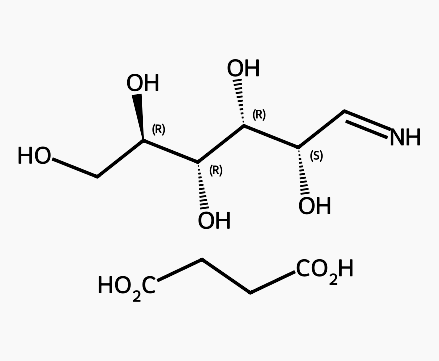 N=C[C@H](O)[C@@H](O)[C@H](O)[C@H](O)CO.O=C(O)CCC(=O)O